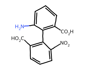 Nc1cccc(C(=O)O)c1-c1c(C(=O)O)cccc1[N+](=O)[O-]